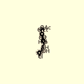 CCN(OC(C)=O)C(=O)c1ccc(S(=O)(=O)c2ccc(CCNC[C@H](O)c3cccc(Cl)c3)cc2)cc1.Cl